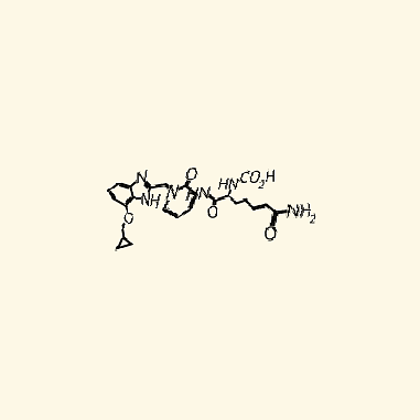 NC(=O)/C=C/CC[C@H](NC(=O)O)C(=O)Nc1cccn(Cc2nc3cccc(OCC4CC4)c3[nH]2)c1=O